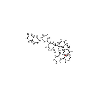 c1ccc(-c2ccccc2N(c2ccc3cc(-c4cccc(-c5ccc6ccccc6c5)c4)ccc3c2)c2cccc3oc4ccccc4c23)cc1